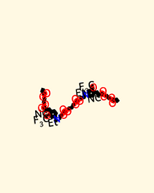 C=CC(=O)OCCOC(=O)/C(C#N)=C/c1ccc(N(CC)CCOC(=O)OCCCOC(=O)OCCN(CC)c2ccc(/C=C(\C#N)C(=O)OCCOC(=O)C=C)c(OC(F)(F)F)c2)cc1OC(F)(F)F